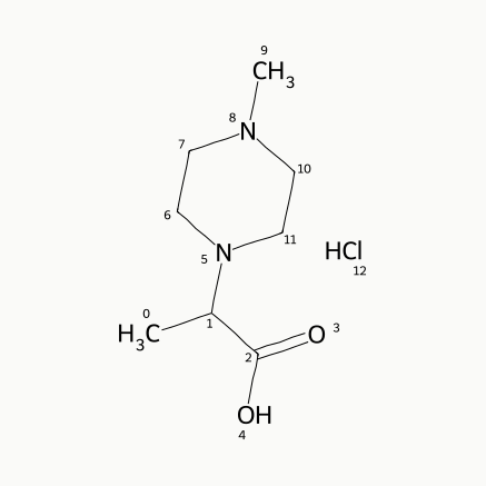 CC(C(=O)O)N1CCN(C)CC1.Cl